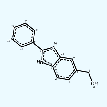 OCc1ccc2[nH]c(-c3cccnc3)nc2c1